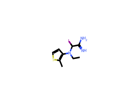 CCN(c1ccsc1C)C(I)C(=N)N